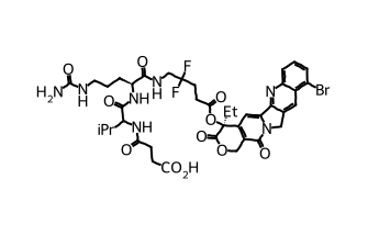 CC[C@@]1(OC(=O)CCC(F)(F)CNC(=O)[C@H](CCCNC(N)=O)NC(=O)C(NC(=O)CCC(=O)O)C(C)C)C(=O)OCc2c1cc1n(c2=O)Cc2cc3c(Br)cccc3nc2-1